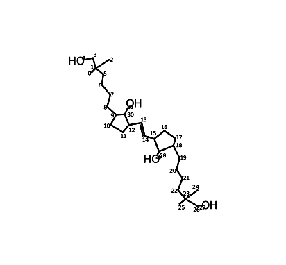 CC(C)(CO)CCCCC1CCC(/C=C/C2CCC(CCCCC(C)(C)CO)C2O)C1O